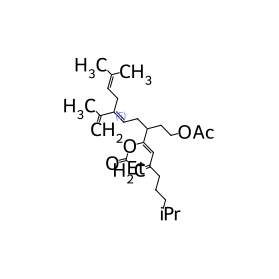 C=C(C=C(OC(=O)CC)C(C/C=C(\CC=C(C)C)C(=C)C)CCOC(C)=O)CCCC(C)C